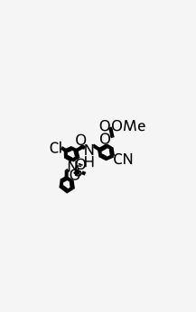 COC(=O)COc1cc(C#N)ccc1CNC(=O)c1cc(Cl)cc(N(Cc2ccccc2)S(C)(=O)=O)c1